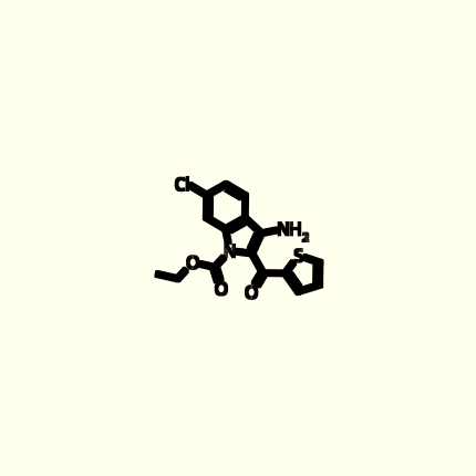 CCOC(=O)n1c(C(=O)c2cccs2)c(N)c2ccc(Cl)cc21